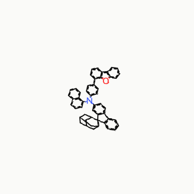 c1ccc2c(c1)-c1ccc(N(c3ccc(-c4cccc5c4oc4ccccc45)cc3)c3cccc4ccccc34)cc1C21C2CC3CC(C2)CC1C3